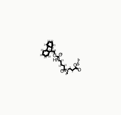 CN(CCC(=O)OSI)C(=O)CCCNC(=O)OCC1c2ccccc2-c2ccccc21